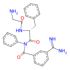 N=C(N)c1cccc(C(=O)N(C(=O)[C@@H](Cc2ccccc2)NC(=O)CN)c2ccccc2)c1